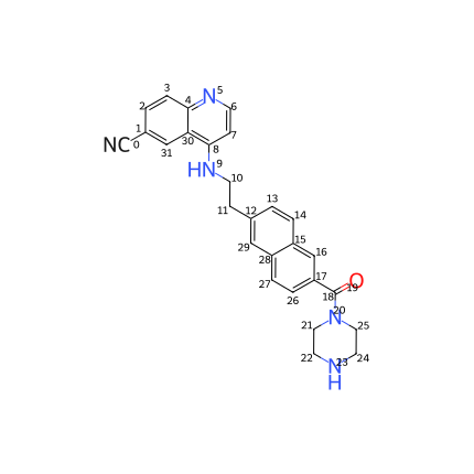 N#Cc1ccc2nccc(NCCc3ccc4cc(C(=O)N5CCNCC5)ccc4c3)c2c1